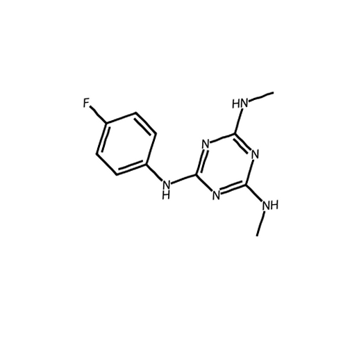 CNc1nc(NC)nc(Nc2ccc(F)cc2)n1